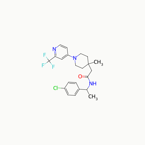 CC(NC(=O)CC1(C)CCN(c2ccnc(C(F)(F)F)c2)CC1)c1ccc(Cl)cc1